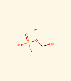 O=P([O-])(O)OCO.[K+]